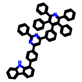 c1ccc(-c2nc(-c3ccc(-c4cccc5c4[nH]c4ccccc45)cc3)cc(-c3cccc(-c4c(-c5ccccc5)c(-c5ccccc5)nc(-c5ccccc5)c4-c4ccccc4)c3)n2)cc1